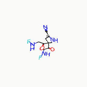 N#C[C@@H]1CC(C(=O)CNF)(C(=O)CNF)CN1